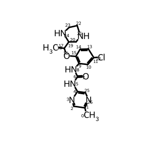 Cc1cnc(NC(=O)Nc2cc(Cl)ccc2OC(C)C2CNCCN2)cn1